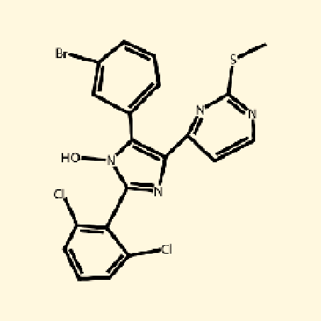 CSc1nccc(-c2nc(-c3c(Cl)cccc3Cl)n(O)c2-c2cccc(Br)c2)n1